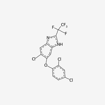 FC(F)(F)C(F)(F)c1nc2cc(Cl)c(Oc3ccc(Cl)cc3Cl)cc2[nH]1